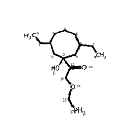 CCC1CCCC(CC)CC(O)(C(=O)COCP)C1